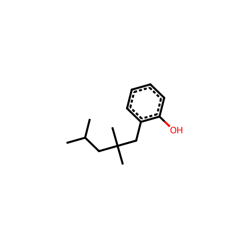 CC(C)CC(C)(C)Cc1ccccc1O